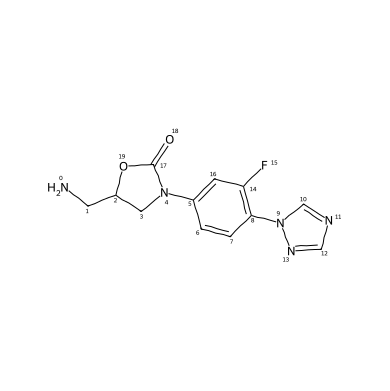 NCC1CN(c2ccc(-n3cncn3)c(F)c2)C(=O)O1